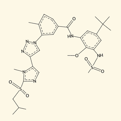 COc1c(NC(=O)c2ccc(C)c(-n3cc(-c4cnc(S(=O)(=O)CC(C)C)n4C)nn3)c2)cc(C(C)(C)C)cc1NS(C)(=O)=O